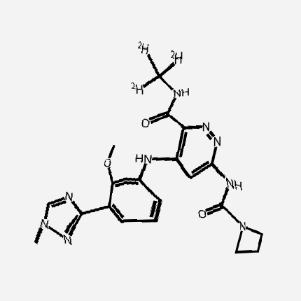 [2H]C([2H])([2H])NC(=O)c1nnc(NC(=O)N2CCC2)cc1Nc1cccc(-c2ncn(C)n2)c1OC